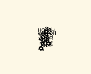 CCC(c1nn(-c2ccccc2)c2nc3cc(C)c(C)cc3nc12)[C@]1(O)O[C@H](CO)[C@@H](O[C@H]2O[C@H](CO)[C@@H](O)[C@H](O)[C@H]2O)[C@H](OO)[C@H]1OO